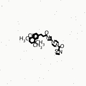 CC1(C)CCC(C)(C)c2cc(CCC(=O)N3CC(N4CCN(C(=O)c5nccs5)CC4)C3)ccc21